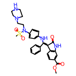 COC(=O)c1ccc2c(c1)NC(=O)/C2=C(\Nc1ccc(N(CCN2CCNCC2)S(C)(=O)=O)cc1)c1ccccc1